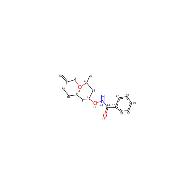 C=CCOC(C)CC(CCCC)ONC(=O)c1ccccc1